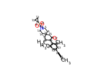 C=C1CC2(CCN(S(=O)(=O)C3CC3)CC2)CC(=O)C1c1c(C)cc(C#CC)cc1C